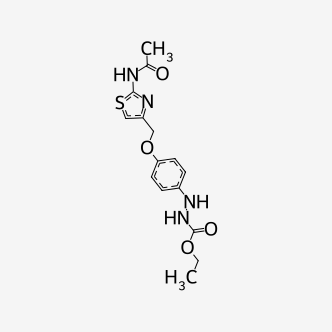 CCOC(=O)NNc1ccc(OCc2csc(NC(C)=O)n2)cc1